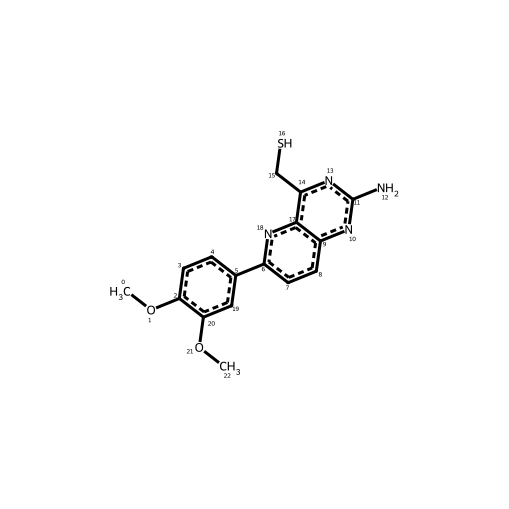 COc1ccc(-c2ccc3nc(N)nc(CS)c3n2)cc1OC